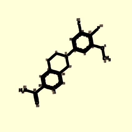 COc1cc(N2CCc3cc(C(N)=O)ncc3C2)cc(F)c1F